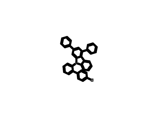 Clc1ccc(-c2ccccc2-n2c3ccccc3c3c(-c4ccccc4)cc(-c4ccccc4)cc32)cc1